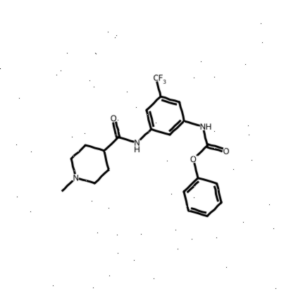 CN1CCC(C(=O)Nc2cc(NC(=O)Oc3ccccc3)cc(C(F)(F)F)c2)CC1